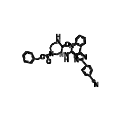 N#Cc1ccc(-c2nc3c4ccccc4nc(N[C@@H]4CN(C(=O)OCc5ccccc5)CCNC4=O)n3n2)cc1